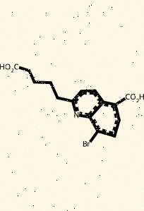 O=C(O)CCCCc1ccc2c(C(=O)O)ccc(Br)c2n1